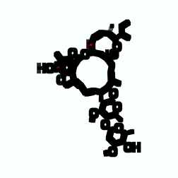 CCC(C)[C@H]1OO[C@@H]2C/C=C(\C)[C@@H](O[C@H]3C[C@H](OC)[C@@H](O[C@H]4C[C@H](OC)[C@@H](O)[C@H](C)O4)[C@H](C)O3)[C@@H](C)/C=C/C=C3\CO[C@@H]4[C@H](O)C(C)=C[C@@H](C(=O)O[C@H](C/C=C\[C@@H]1C)C2)[C@]34O